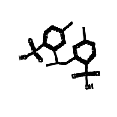 Cc1ccc(S(=O)(=O)O)c(CC(C)c2cc(C)ccc2S(=O)(=O)O)c1